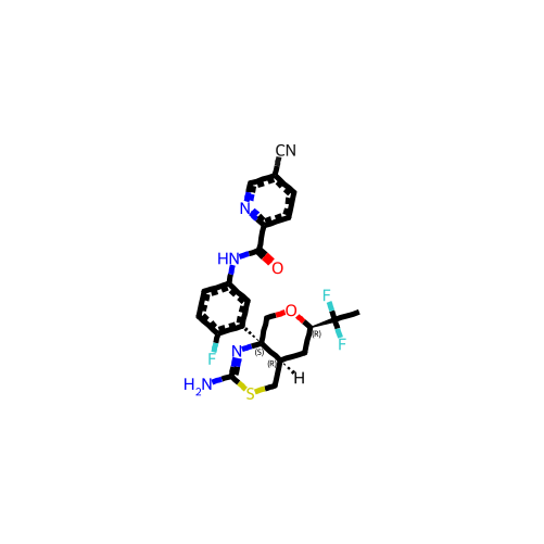 CC(F)(F)[C@H]1C[C@H]2CSC(N)=N[C@@]2(c2cc(NC(=O)c3ccc(C#N)cn3)ccc2F)CO1